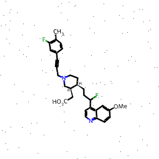 COc1ccc2nccc(C(F)CC[C@@H]3CCN(CC#Cc4ccc(C)c(F)c4)C[C@@H]3CC(=O)O)c2c1